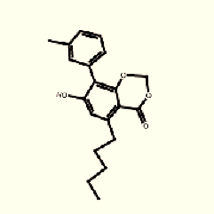 CCCCCc1cc(O)c(-c2cccc(C)c2)c2c1C(=O)OCO2